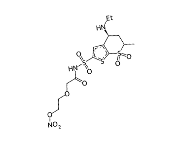 CCN[C@H]1CC(C)S(=O)(=O)c2sc(S(=O)(=O)NC(=O)COCCO[N+](=O)[O-])cc21